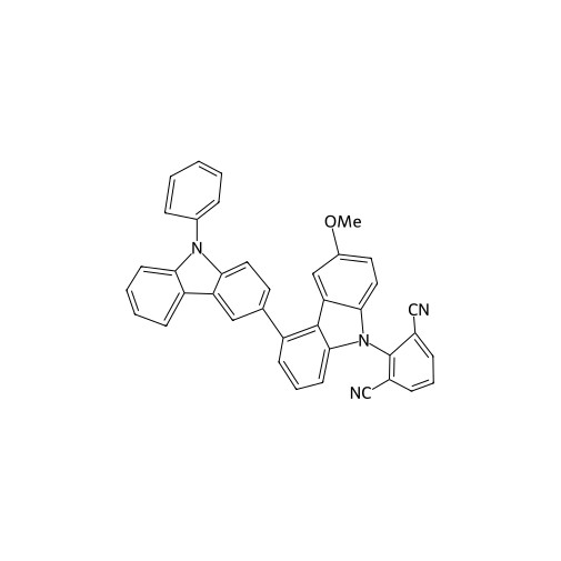 COc1ccc2c(c1)c1c(-c3ccc4c(c3)c3ccccc3n4-c3ccccc3)cccc1n2-c1c(C#N)cccc1C#N